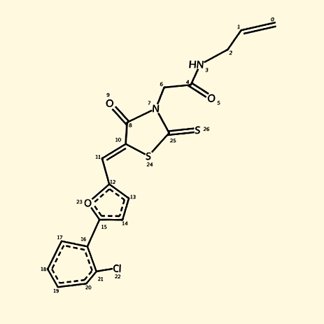 C=CCNC(=O)CN1C(=O)C(=Cc2ccc(-c3ccccc3Cl)o2)SC1=S